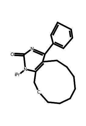 CC(C)n1c2c(c(-c3ccccc3)nc1=O)CCCCCCCCC2